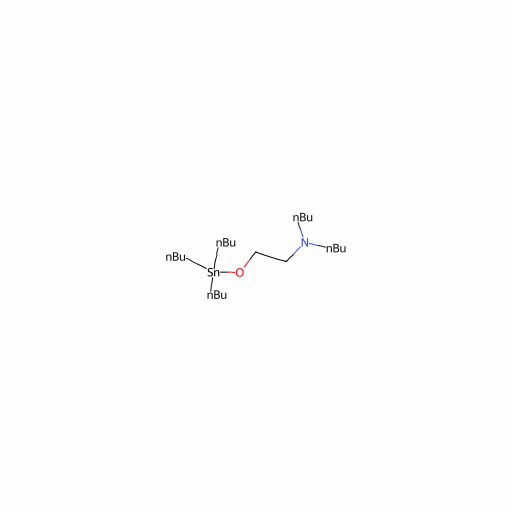 CCCCN(CCCC)CC[O][Sn]([CH2]CCC)([CH2]CCC)[CH2]CCC